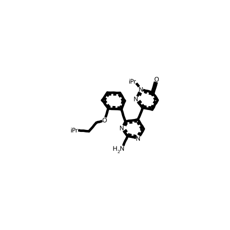 CC(C)CCOc1ccccc1-c1nc(N)ncc1-c1ccc(=O)n(C(C)C)n1